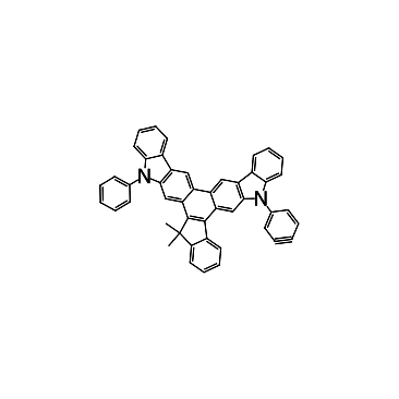 CC1(C)c2ccccc2-c2c1c1cc3c(cc1c1cc4c5ccccc5n(-c5cc#ccc5)c4cc21)c1ccccc1n3-c1ccccc1